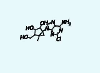 CC12CC1(n1cnc3c(N)nc(Cl)nc31)C(O)C(O)C2CO